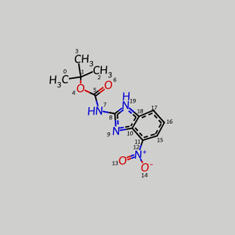 CC(C)(C)OC(=O)Nc1nc2c([N+](=O)[O-])cccc2[nH]1